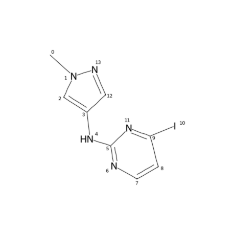 Cn1cc(Nc2nccc(I)n2)cn1